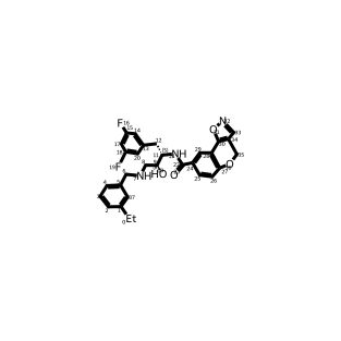 CCc1cccc(CNC[C@@H](O)[C@H](Cc2cc(F)cc(F)c2)NC(=O)c2ccc3c(c2)-c2oncc2CO3)c1